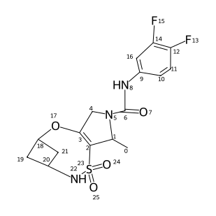 CC1C2=C(CN1C(=O)Nc1ccc(F)c(F)c1)OC1CC(C1)NS2(=O)=O